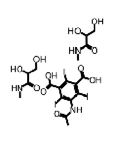 CC(=O)Nc1c(I)c(C(=O)O)c(I)c(C(=O)O)c1I.CNC(=O)C(O)CO.CNC(=O)C(O)CO